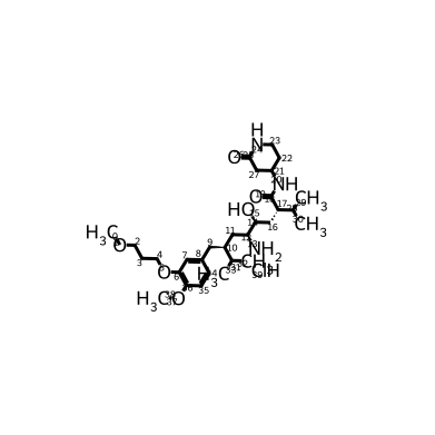 COCCCOc1cc(C[C@@H](C[C@H](N)[C@@H](O)C[C@H](C(=O)NC2CCNC(=O)C2)C(C)C)C(C)C)ccc1OC.Cl